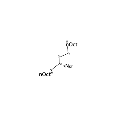 CCCCCCCCCCCCCCCCCCCC.[Na]